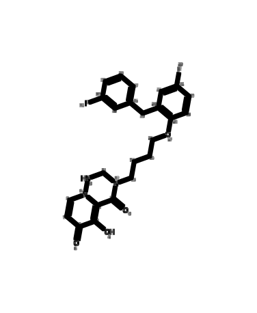 O=C1c2c(O)c(=O)ccn2NCN1CCCCOc1ccc(F)cc1Cc1cccc(F)c1